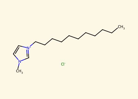 CCCCCCCCCCC[n+]1ccn(C)c1.[Cl-]